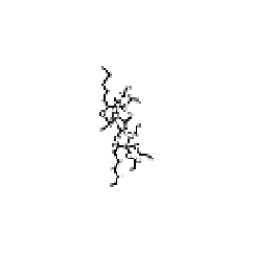 CCCCCC(OC(C)NC(C)OC(CCCCC)[Si](OCC)(OCC)OCC)[Si](OCC)(OCC)OCC